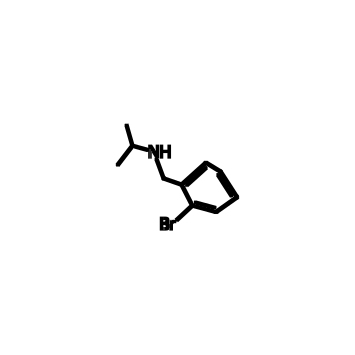 CC(C)NCc1ccccc1Br